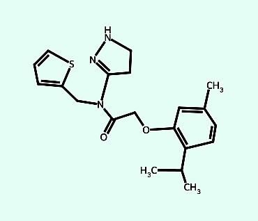 Cc1ccc(C(C)C)c(OCC(=O)N(Cc2cccs2)C2=NNCC2)c1